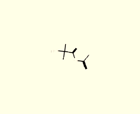 C=C(C)OC(=O)C(C)(C)O